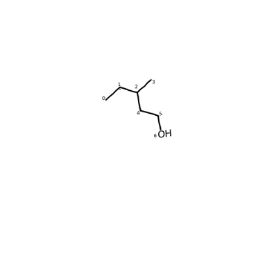 C[CH]C(C)CCO